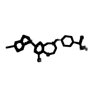 Cc1ccc2c(ccn2-c2cc(Cl)c3c(c2)CN(C[C@H]2CC[C@H](C(N)=O)CC2)CCO3)c1